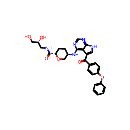 O=C(c1ccc(Oc2ccccc2)cc1)c1c[nH]c2ncnc(N[C@@H]3CC[C@@H](C(=O)NC[C@@H](O)CO)OC3)c12